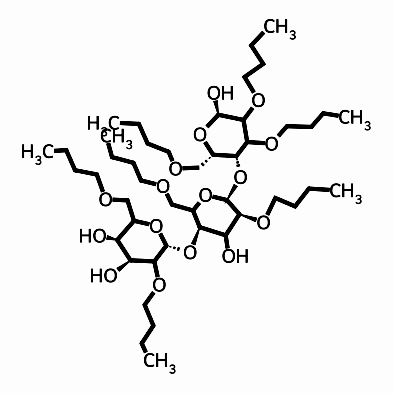 CCCCOCC1O[C@@H](O[C@H]2C(OCCCC)C(OCCCC)[C@H](O)O[C@H]2COCCCC)[C@@H](OCCCC)C(O)[C@H]1O[C@H]1OC(COCCCC)[C@H](O)[C@H](O)C1OCCCC